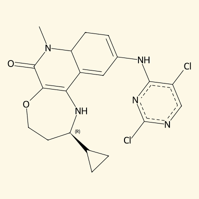 CN1C(=O)C2=C(N[C@@H](C3CC3)CCO2)C2=CC(Nc3nc(Cl)ncc3Cl)=CCC21